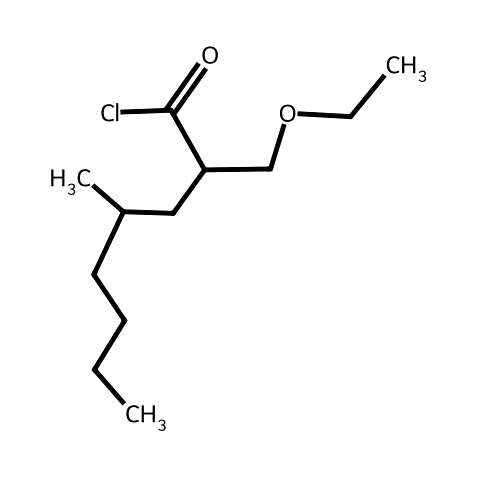 CCCCC(C)CC(COCC)C(=O)Cl